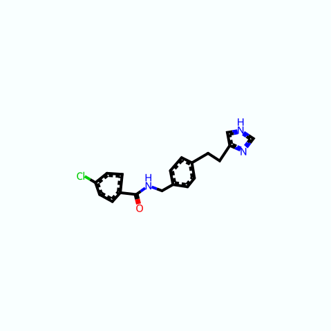 O=C(NCc1ccc(CCc2c[nH]cn2)cc1)c1ccc(Cl)cc1